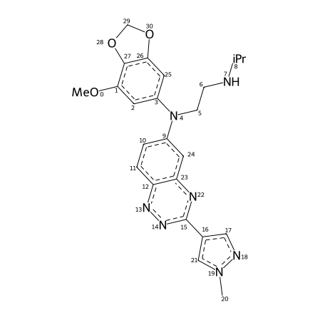 COc1cc(N(CCNC(C)C)c2ccc3nnc(-c4cnn(C)c4)nc3c2)cc2c1OCO2